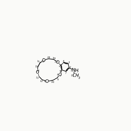 CNc1ccc2c(c1)OCCOCCOCCOCCO2